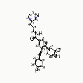 C/C=C(\C=N/C)CCCNC(=O)c1cnc(N2CCNC(=O)C2)c(C#Cc2ccc(F)cc2)c1